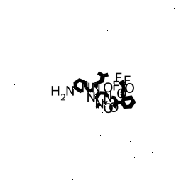 CC(C)=CCn1c(N2CCCC(N)C2)nc2c1c(=O)n(CC(=O)c1ccccc1OC(=O)C(F)(F)F)c(=O)n2C